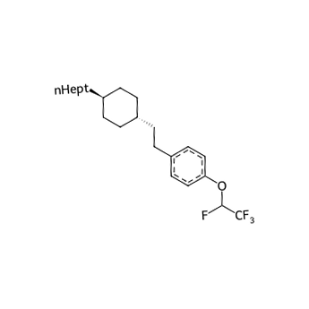 CCCCCCC[C@H]1CC[C@H](CCc2ccc(OC(F)C(F)(F)F)cc2)CC1